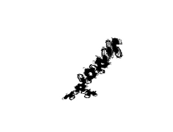 C=CC(=O)COc1ccc(C(=O)OC2CCC(OC(=O)c3ccc(OCOC(=O)C=C)cc3)CC2)cc1OCC(=O)C=C